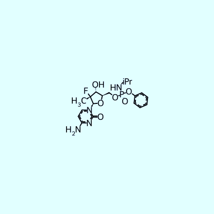 CC(C)NP(=O)(OC[C@H]1O[C@@H](n2ccc(N)nc2=O)[C@](C)(F)[C@@H]1O)Oc1ccccc1